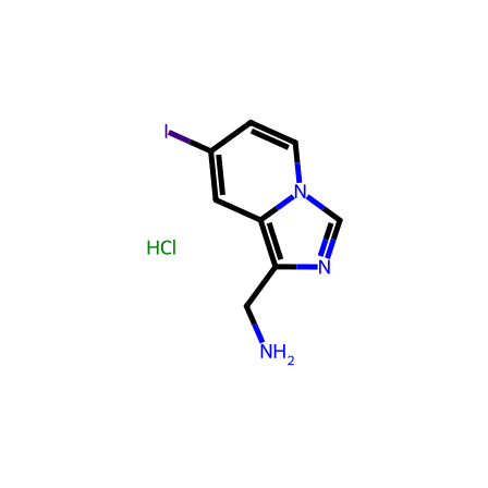 Cl.NCc1ncn2ccc(I)cc12